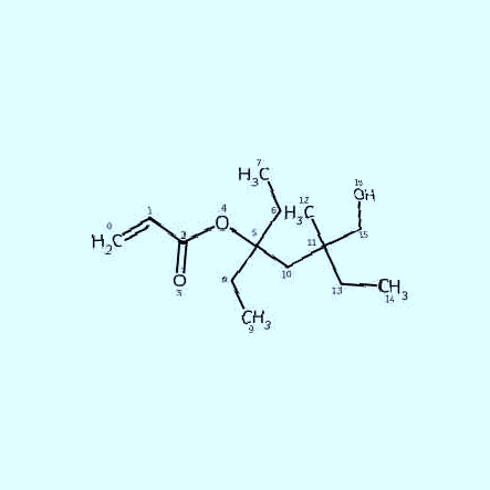 C=CC(=O)OC(CC)(CC)CC(C)(CC)CO